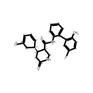 Cc1ccc(F)cc1-c1ccccc1NC(=O)C1CNC(=O)CC1[C@@H]1C=CC=C(Cl)C1